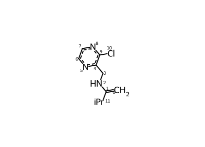 C=C(NCc1nccnc1Cl)C(C)C